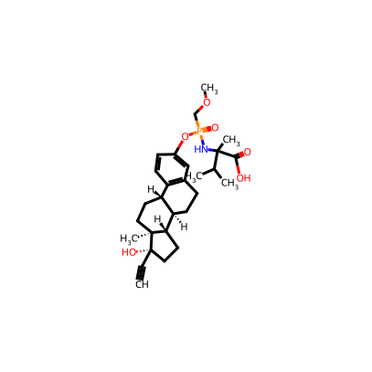 C#C[C@]1(O)CC[C@H]2[C@@H]3CCc4cc(OP(=O)(COC)NC(C)(C(=O)O)C(C)C)ccc4[C@H]3CC[C@@]21C